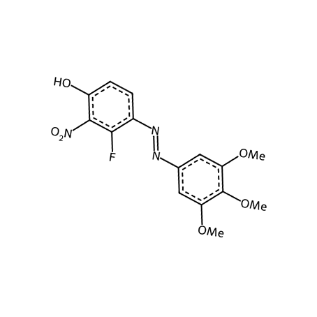 COc1cc(N=Nc2ccc(O)c([N+](=O)[O-])c2F)cc(OC)c1OC